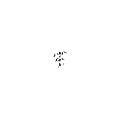 [As+3].[Ga+3].[In+3].[P+3]